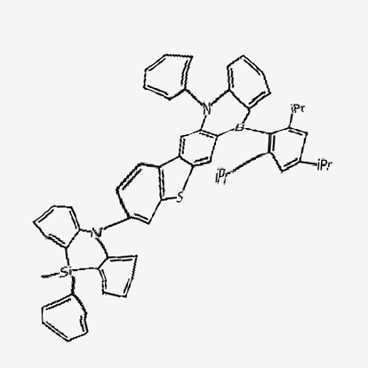 CC(C)c1cc(C(C)C)c(B2c3ccccc3N(c3ccccc3)c3cc4c(cc32)sc2cc(N3c5ccccc5[Si](C)(c5ccccc5)c5ccccc53)ccc24)c(C(C)C)c1